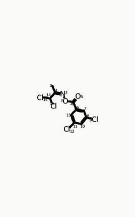 CC(=NOC(=O)c1cc(Cl)cc(Cl)c1)C(Cl)Cl